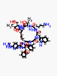 C[C@@H](O)[C@@H]1NC(=O)[C@H](CCCCN)NC(=O)[C@@H](Cc2c[nH]c3ccccc23)NC(=O)[C@H](Cc2ccc(O)cc2)NC(=O)[C@@H](NC(=O)[C@@H](Cc2ccccc2)NC(=O)c2ccc(NN)nc2)CSSC[C@@H](C(=O)N[C@H](CO)[C@@H](C)O)NC1=O